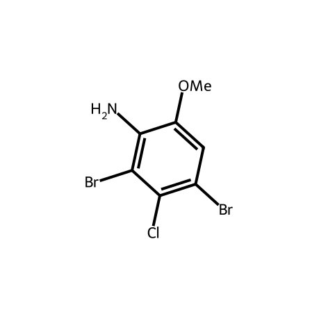 COc1cc(Br)c(Cl)c(Br)c1N